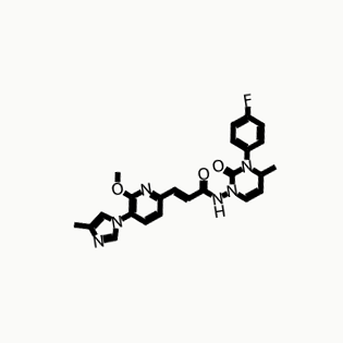 COc1nc(C=CC(=O)NN2C=CC(C)N(c3ccc(F)cc3)C2=O)ccc1-n1cnc(C)c1